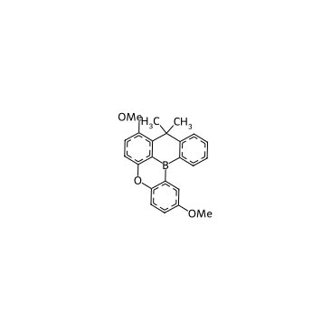 COc1ccc2c(c1)B1c3ccccc3C(C)(C)c3c(OC)ccc(c31)O2